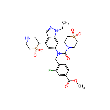 CCn1ncc2c(C3CNCCS3(=O)=O)cc(N(Cc3ccc(C(=O)OC)cc3F)C(=O)N3CCS(=O)(=O)CC3)cc21